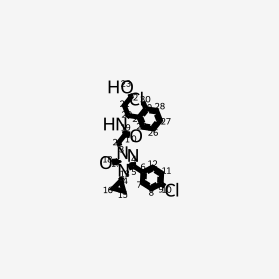 O=C(Cn1nc(-c2ccc(Cl)cc2)n(C2CC2)c1=O)NC(CCO)c1ccccc1Cl